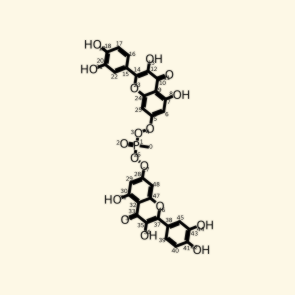 CP(=O)(OOc1cc(O)c2c(=O)c(O)c(-c3ccc(O)c(O)c3)oc2c1)OOc1cc(O)c2c(=O)c(O)c(-c3ccc(O)c(O)c3)oc2c1